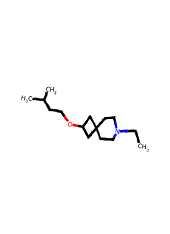 CCN1CCC2(CC1)CC(OCCC(C)C)C2